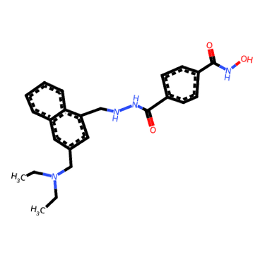 CCN(CC)Cc1cc(CNNC(=O)c2ccc(C(=O)NO)cc2)c2ccccc2c1